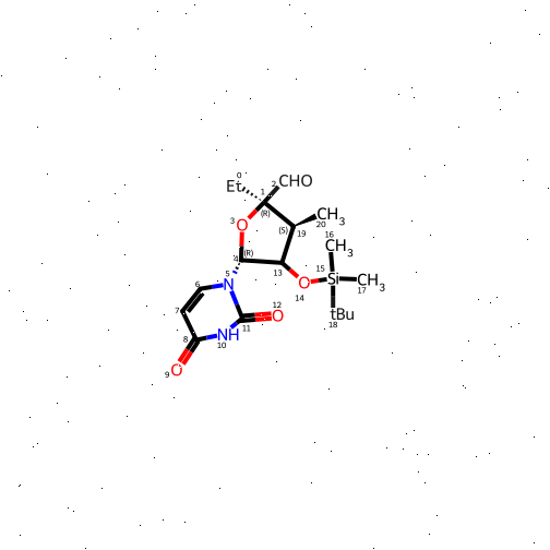 CC[C@@]1(C=O)O[C@@H](n2ccc(=O)[nH]c2=O)C(O[Si](C)(C)C(C)(C)C)[C@@H]1C